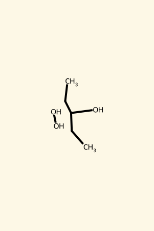 CCC(O)CC.OO